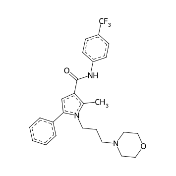 Cc1c(C(=O)Nc2ccc(C(F)(F)F)cc2)cc(-c2ccccc2)n1CCCN1CCOCC1